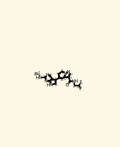 CCC(C)Nc1ncc2c(-c3ccn4ncc(C(=O)NCC(F)F)c4c3)c[nH]c2n1